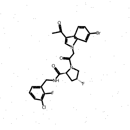 CC(=O)c1cn(CC(=O)N2C[C@H](F)C[C@H]2C(=O)NCc2cccc(Cl)c2F)c2cc(Br)ccc12